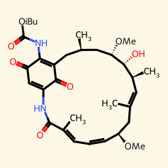 CO[C@H]1C[C@H](C)CC2=C(NC(=O)OCC(C)C)C(=O)C=C(NC(=O)/C(C)=C/C=C\[C@H](OC)C/C(C)=C/[C@H](C)[C@H]1O)C2=O